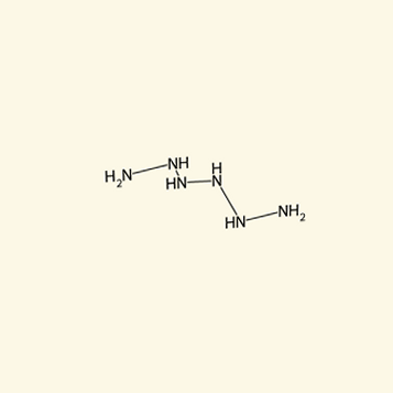 NNNNNN